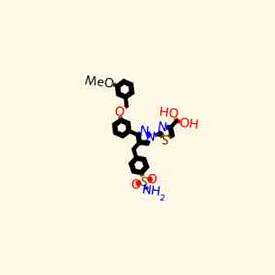 COc1cccc(COc2cccc(-c3nn(-c4nc(C(O)O)cs4)cc3Cc3ccc(S(N)(=O)=O)cc3)c2)c1